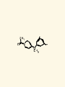 CC(=O)N1CCC(N(C)c2cc(F)cc(I)c2)CC1